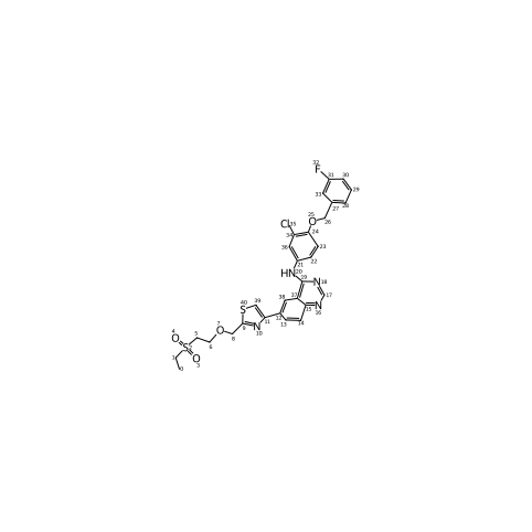 CCS(=O)(=O)CCOCc1nc(-c2ccc3ncnc(Nc4ccc(OCc5cccc(F)c5)c(Cl)c4)c3c2)cs1